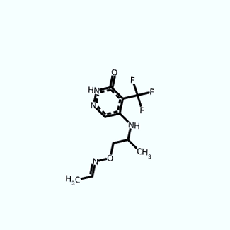 CC=NOCC(C)Nc1cn[nH]c(=O)c1C(F)(F)F